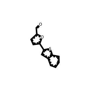 O=Cc1ccc(-c2cc3ccccc3s2)o1